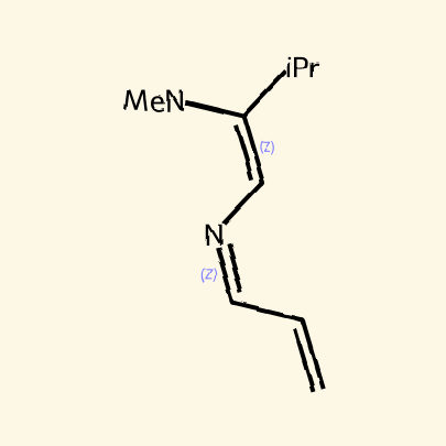 C=C/C=N\C=C(/NC)C(C)C